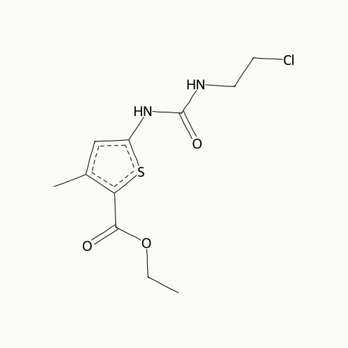 CCOC(=O)c1sc(NC(=O)NCCCl)cc1C